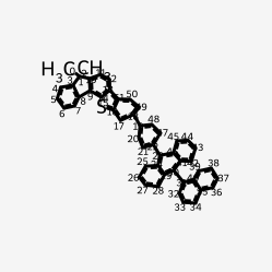 CC1(C)c2ccccc2-c2c1ccc1c2sc2cc(-c3ccc(-c4c5ccccc5c(-c5cccc6ccccc56)c5ccccc45)cc3)ccc21